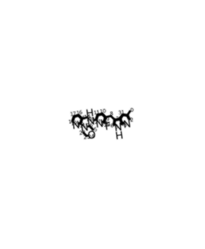 Cc1cnc2[nH]cc(Cc3ccc(NCc4cccnc4N4CCOCC4)nc3F)c2c1